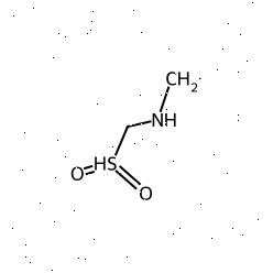 [CH2]NC[SH](=O)=O